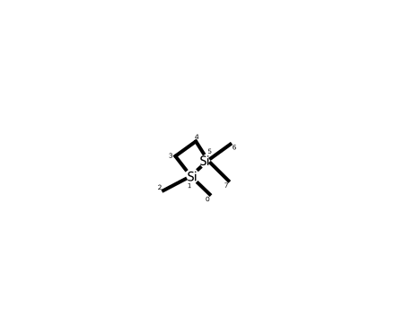 C[Si]1(C)CC[Si]1(C)C